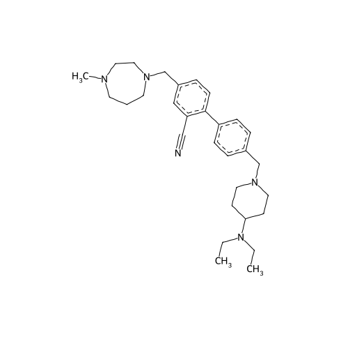 CCN(CC)C1CCN(Cc2ccc(-c3ccc(CN4CCCN(C)CC4)cc3C#N)cc2)CC1